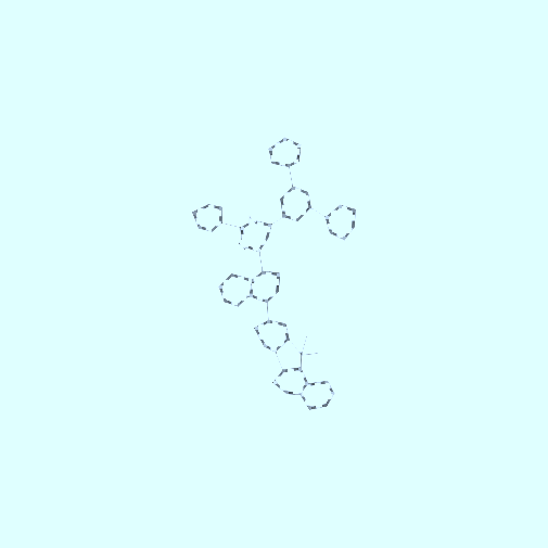 CC1(C)c2cc(-c3ccc(-c4cc(-c5cc(-c6ccccc6)cc(-c6ccccc6)c5)nc(-c5ccccc5)n4)c4ccccc34)ccc2-c2ccc3ccccc3c21